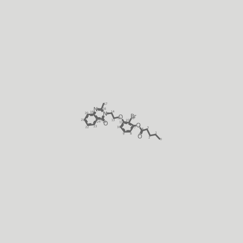 CCCCC(=O)Oc1cccc(OCCn2c(C)nc3ccccc3c2=O)c1Br